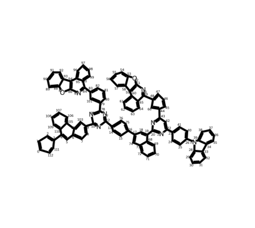 c1ccc(-c2cc3ccc(-c4nc(-c5ccc(-c6cc(-c7nc(-c8ccc(-n9c%10ccccc%10c%10ccccc%109)cc8)cc(-c8cccc(-c9nc%10oc%11ccccc%11c%10c%10ccccc9%10)c8)n7)c7ccccc7c6)cc5)nc(-c5cccc(-c6nc7oc8ccccc8c7c7ccccc67)c5)n4)cc3c3ccccc23)cc1